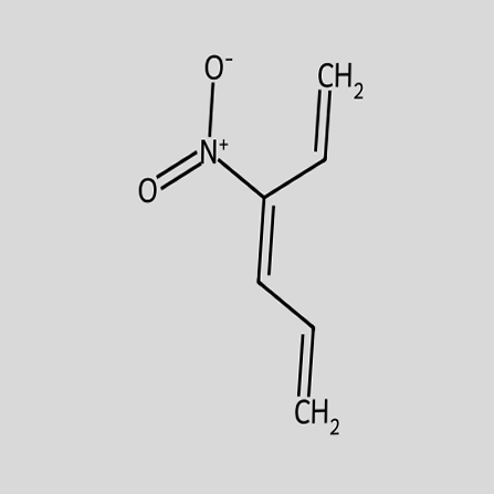 C=C/C=C(\C=C)[N+](=O)[O-]